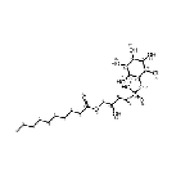 CCCCCCCCCC(=O)OCC(O)COP(=O)(O)OC1C(O)C(O)C(O)C(O)C1O